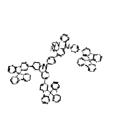 c1ccc(N(c2ccc(-c3ccc4c(c3)C3(c5ccccc5-c5ccccc53)c3ccccc3-4)cc2)c2ccc(-c3ccc(-n4c5ccc(-c6ccc7c(c6)C6(c8ccccc8-c8ccccc86)c6ccccc6-7)cc5c5cc(-c6ccc7c(c6)C6(c8ccccc8-c8ccccc86)c6ccccc6-7)ccc54)cc3)c3nsnc23)cc1